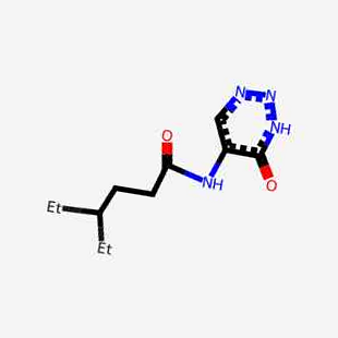 CCC(CC)CCC(=O)Nc1cnn[nH]c1=O